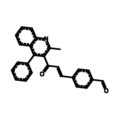 Cc1nc2ccccc2c(-c2ccccc2)c1C(=O)C=Cc1ccc(C=O)cc1